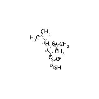 CC(C)CCCCCOC(=O)CS.[CH3][Sn]([CH3])[CH3]